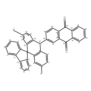 Cc1ccc2c(c1)C1(c3ccccc3-c3ccccc31)c1cc(C)ccc1N2c1ccc2c(c1)C(=O)c1ccccc1C2=O